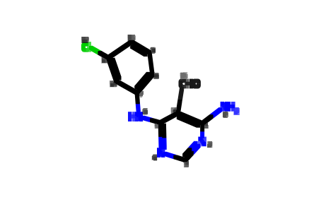 Nc1ncnc(Nc2cccc(Cl)c2)c1C=O